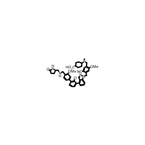 COc1cc(-c2cccc(-c3cccc4c3cnn4Cc3cc(OC)c(CN(C)C4CCC(C(=O)O)CC4)cc3C#N)c2Cl)ccc1CNCC1CCC(=O)N1